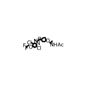 CC(=O)N[C@@H](C)COC1CCC(Oc2nc3c(Cl)cc(OCC(F)F)c(Cl)c3n2C)CC1